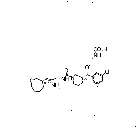 N[C@@H](CNC(=O)N1CCC[C@@H](C(OCCNC(=O)O)c2cccc(Cl)c2)C1)C[C@H]1CCCCOC1